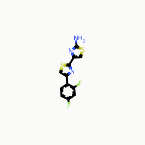 Nc1nc(-c2nc(-c3ccc(F)cc3F)cs2)cs1